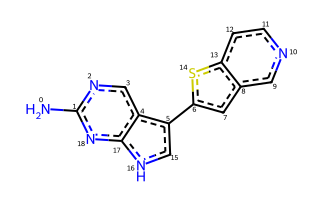 Nc1ncc2c(-c3cc4cnccc4s3)c[nH]c2n1